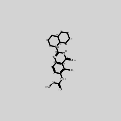 Cc1c(NC(=O)OC(C)(C)C)ccc2nc(N3CCCC4CCCCC43)oc(=O)c12